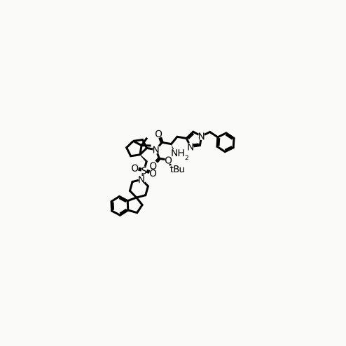 CC(C)(C)OC(=O)N(C(=O)[C@@H](N)Cc1cn(Cc2ccccc2)cn1)C1CC2CC[C@]1(CS(=O)(=O)N1CCC3(CCc4ccccc43)CC1)C2(C)C